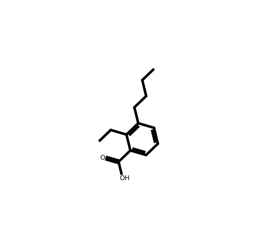 CCCCc1cccc(C(=O)O)c1CC